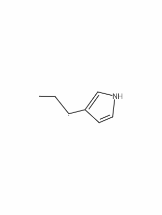 CC[CH]c1cc[nH]c1